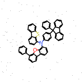 c1ccc(-c2cccc3c2oc2c(N(c4ccc(C5(c6ccccc6)c6ccccc6-c6ccccc65)cc4)c4cccc5c4sc4ccccc45)cccc23)cc1